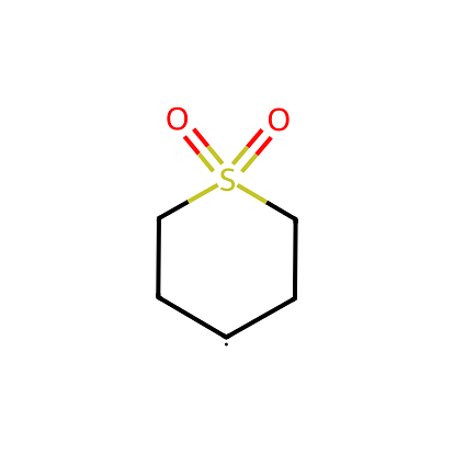 O=S1(=O)CC[CH]CC1